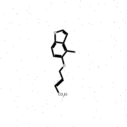 CCOC(=O)/C=C/COc1ccc2occc2c1I